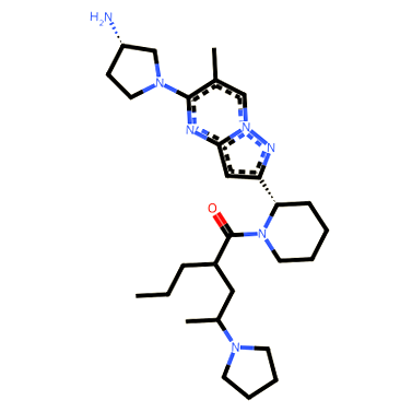 CCCC(CC(C)N1CCCC1)C(=O)N1CCCC[C@H]1c1cc2nc(N3CC[C@H](N)C3)c(C)cn2n1